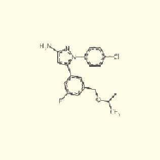 CC(OCc1cc(F)cc(-c2cc(N)nn2-c2ccc(Cl)cc2)c1)C(F)(F)F